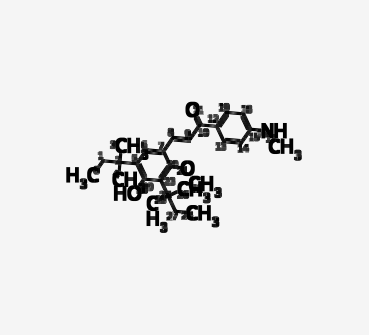 CCC(C)(C)c1cc(C=CC(=O)c2ccc(NC)cc2)c(OC)c(C(C)(C)CC)c1O